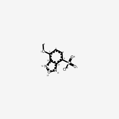 COc1ccc(S(=O)(=O)Cl)c2nonc12